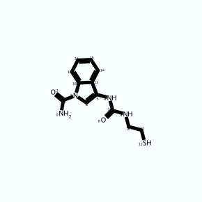 NC(=O)n1cc(NC(=O)NCCS)c2ccccc21